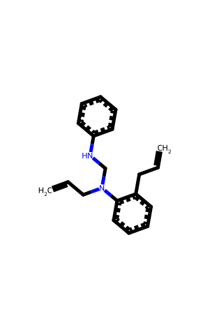 C=CCc1ccccc1N(CC=C)CNc1ccccc1